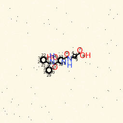 O=C(NC12CC(C(=O)O)(C1)C2)c1cc(O)c(C(=O)NC(c2ccccc2)c2ccccc2)cn1